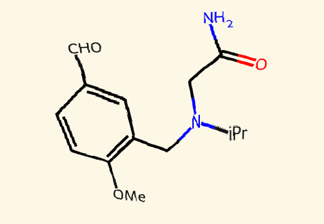 COc1ccc(C=O)cc1CN(CC(N)=O)C(C)C